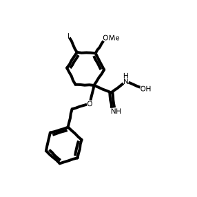 COC1=CC(OCc2ccccc2)(C(=N)NO)CC=C1I